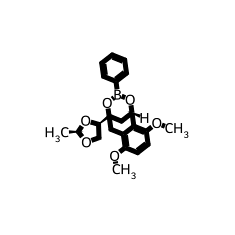 COc1ccc(OC)c2c1CC1([C@H]3CO[C@@H](C)O3)C[C@@H]2OB(c2ccccc2)O1